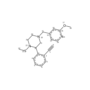 C#Cc1ccccc1C1CN(Cc2ccnc(OC)c2)CCN1SC